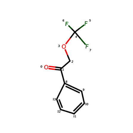 O=C(COC(F)(F)F)c1ccccc1